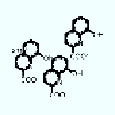 O=C([O-])c1ccc2cccc(O)c2n1.O=C([O-])c1ccc2cccc(O)c2n1.O=C([O-])c1ccc2cccc(O)c2n1.[Sm+3]